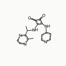 Cc1nccnc1C(C)Nc1c(Nc2ccncc2)c(=O)c1=O